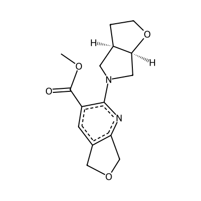 COC(=O)c1cc2c(nc1N1C[C@H]3CCO[C@H]3C1)COC2